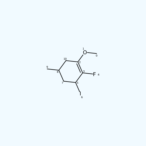 COC1=C(F)C(I)CC(C)C1